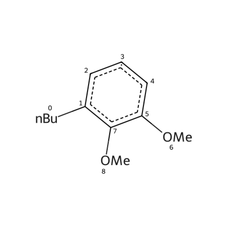 CCCCc1c[c]cc(OC)c1OC